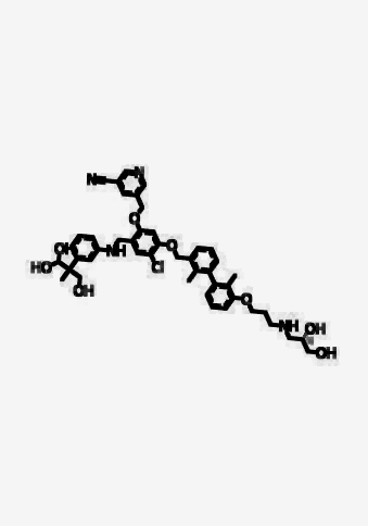 Cc1c(COc2cc(OCc3cncc(C#N)c3)c(CNc3cccc(C(C)(CO)C(O)O)c3)cc2Cl)cccc1-c1cccc(OCCCNC[C@H](O)CO)c1C